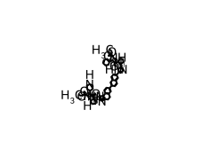 COC(=O)N[C@@H](C(=O)N1CCC[C@H]1c1ncc(-c2ccc3cc(-c4ccc5c(c4)CCc4nc([C@@H]6CCCN6C(=O)[C@@H](NC(=O)OC)C6CCNCC6)[nH]c4-5)ccc3c2)[nH]1)C1=CC=CCC1